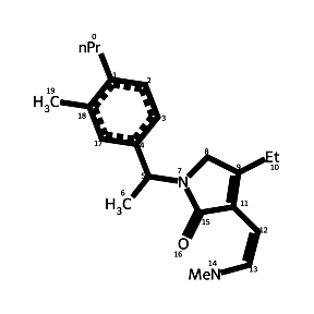 CCCc1ccc(C(C)N2CC(CC)=C(/C=C\NC)C2=O)cc1C